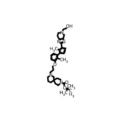 Cc1c(OCCCN2CCCC3(CCN(C(=O)OC(C)(C)C)CC3)C2)cccc1-c1cccc(-c2nc3c(s2)CN(CCO)CC3)c1C